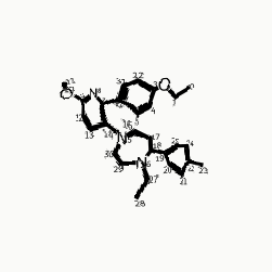 CCOc1ccc(-c2nc(OC)ccc2N2CCC(c3ccc(C)cc3)N(CC)CC2)cc1